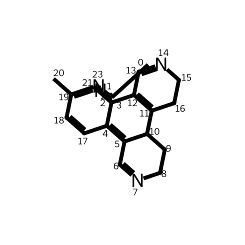 CC1=CC23C(=C4C=NCCC4C4=C2C=NCC4)C=CC(C)=C3N=N1